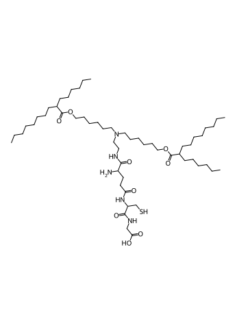 CCCCCCCCC(CCCCCC)C(=O)OCCCCCCN(CCCCCCOC(=O)C(CCCCCC)CCCCCCCC)CCNC(=O)C(N)CCC(=O)NC(CS)C(=O)NCC(=O)O